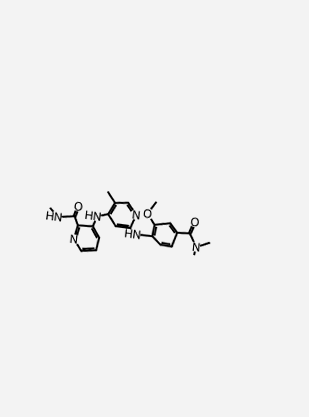 CNC(=O)c1ncccc1Nc1cc(Nc2ccc(C(=O)N(C)C)cc2OC)ncc1C